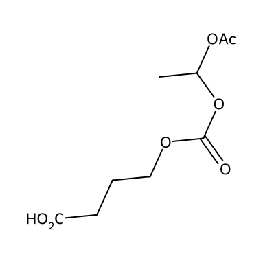 CC(=O)OC(C)OC(=O)OCCCC(=O)O